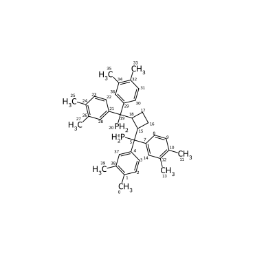 Cc1ccc(C(P)(c2ccc(C)c(C)c2)C2CCC2C(P)(c2ccc(C)c(C)c2)c2ccc(C)c(C)c2)cc1C